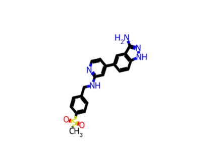 CS(=O)(=O)c1ccc(CNc2cc(-c3ccc4[nH]nc(N)c4c3)ccn2)cc1